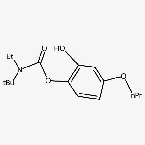 CCCOc1ccc(OC(=O)N(CC)C(C)(C)C)c(O)c1